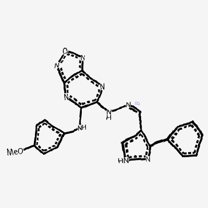 COc1ccc(Nc2nc3nonc3nc2N/N=C\c2c[nH]nc2-c2ccccc2)cc1